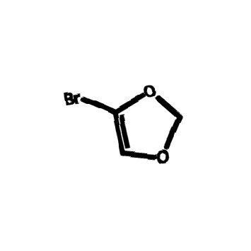 BrC1=COCO1